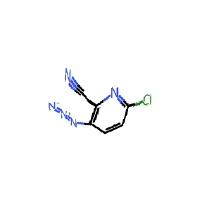 N#Cc1nc(Cl)ccc1N=[N+]=[N-]